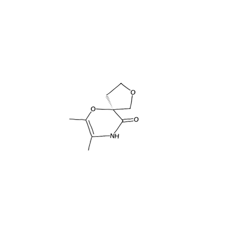 CC1=C(C)O[C@]2(CCOC2)C(=O)N1